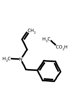 C=CCN(C)Cc1ccccc1.CC(=O)O